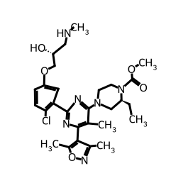 CC[C@H]1CN(c2nc(-c3cc(OC[C@H](O)CNC)ccc3Cl)nc(-c3c(C)noc3C)c2C)CCN1C(=O)OC